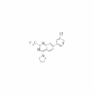 Cc1nc(N2CCCC2)c2ccc(-c3cccc(Cl)c3)cc2n1